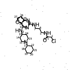 O=C(CCl)NCCCNc1nc(NC2CCN(C3CCCCC3)CC2)c2occc2n1